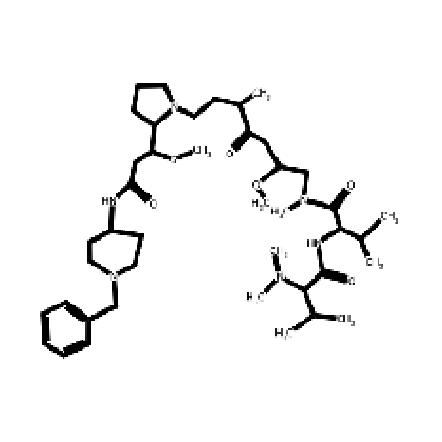 COC(CC(=O)C(C)CCN1CCCC1C(CC(=O)NC1CCN(Cc2ccccc2)CC1)SC)CN(C)C(=O)C(NC(=O)C(C(C)C)N(C)C)C(C)C